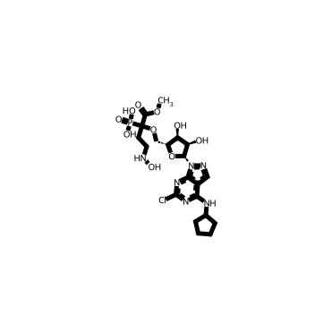 COC(=O)C(CCNO)(OC[C@H]1O[C@@H](n2ncc3c(NC4CCCC4)nc(Cl)nc32)[C@H](O)[C@@H]1O)P(=O)(O)O